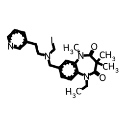 CCN1C(=O)C(C)(C)C(=O)N(C)c2cc(CN(CI)CCc3cccnc3)ccc21